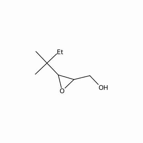 CCC(C)(C)C1OC1CO